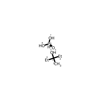 CCC(C)(O)CC.O=[PH](O)O